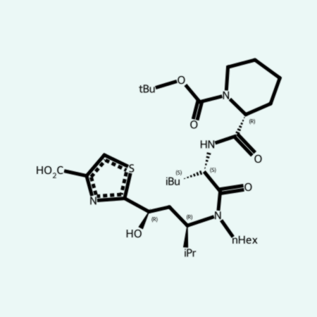 CCCCCCN(C(=O)[C@@H](NC(=O)[C@H]1CCCCN1C(=O)OC(C)(C)C)[C@@H](C)CC)[C@H](C[C@@H](O)c1nc(C(=O)O)cs1)C(C)C